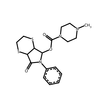 CN1CCN(C(=O)OC2C3SCCSC3C(=O)N2c2ccccc2)CC1